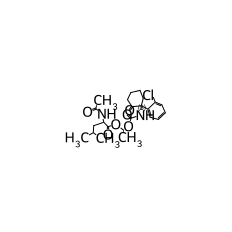 CC(=O)NC(CC(C)C)C(=O)OC(C)OC(=O)N[C@]1(c2ccccc2Cl)CCCCC1=O